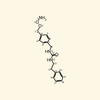 NOOSc1ccc(CNC(=O)NCCc2ccccc2)cc1